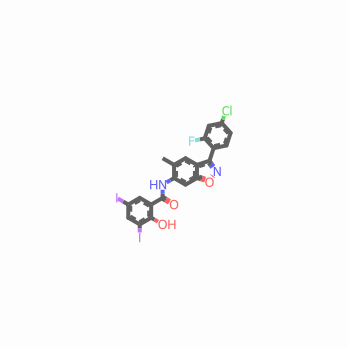 Cc1cc2c(-c3ccc(Cl)cc3F)noc2cc1NC(=O)c1cc(I)cc(I)c1O